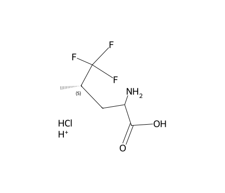 C[C@@H](CC(N)C(=O)O)C(F)(F)F.Cl.[H+]